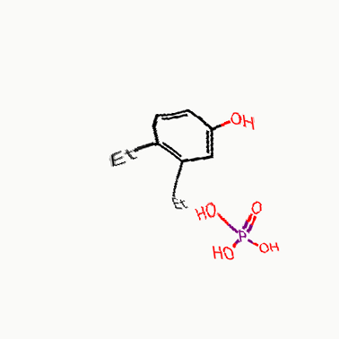 CCc1ccc(O)cc1CC.O=P(O)(O)O